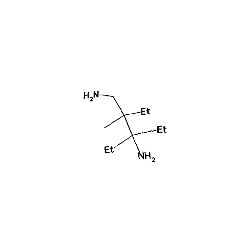 CCC(C)(CN)C(N)(CC)CC